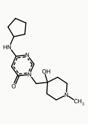 CN1CCC(O)(Cn2cnc(NC3CCCC3)cc2=O)CC1